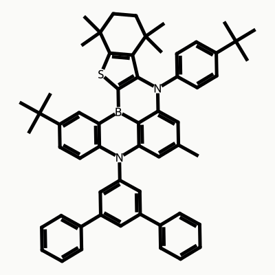 Cc1cc2c3c(c1)N(c1ccc(C(C)(C)C)cc1)c1c(sc4c1C(C)(C)CCC4(C)C)B3c1cc(C(C)(C)C)ccc1N2c1cc(-c2ccccc2)cc(-c2ccccc2)c1